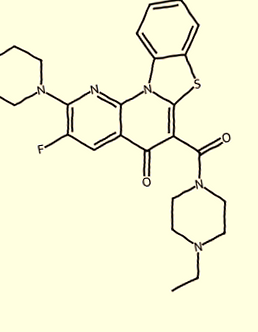 CCN1CCN(C(=O)c2c(=O)c3cc(F)c(N4CCOCC4)nc3n3c2sc2ccccc23)CC1